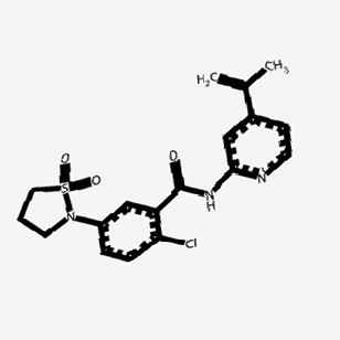 C=C(C)c1ccnc(NC(=O)c2cc(N3CCCS3(=O)=O)ccc2Cl)c1